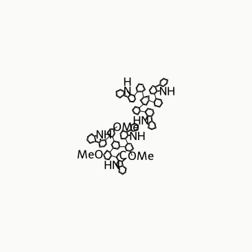 COc1ccc(-c2cccc3c2[nH]c2ccccc23)c(-c2cc(-c3cc(OC)ccc3-c3cccc4c3[nH]c3ccccc34)cc(-c3cc(OC)ccc3-c3cccc4c3[nH]c3ccccc34)c2)c1.c1ccc(-c2cccc3c2[nH]c2ccccc23)c(-c2cc(-c3ccccc3-c3cccc4c3[nH]c3ccccc34)cc(-c3ccccc3-c3cccc4c3[nH]c3ccccc34)c2)c1